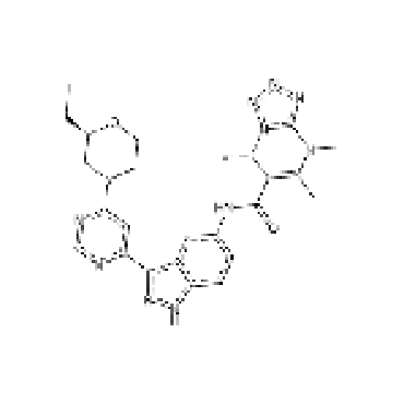 CC1=C(C(=O)Nc2ccc3[nH]nc(-c4cc(N5CCO[C@H](CI)C5)ncn4)c3c2)[C@H](C)n2nnnc2N1C